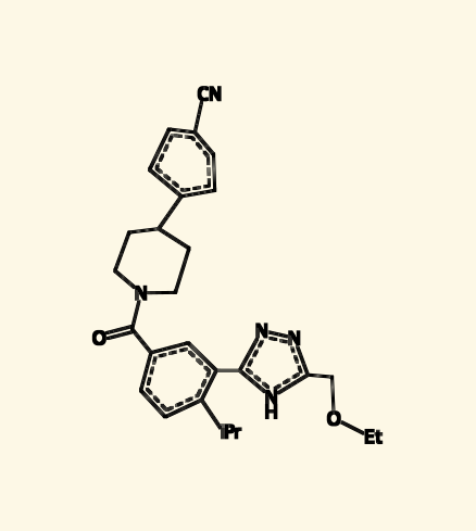 CCOCc1nnc(-c2cc(C(=O)N3CCC(c4ccc(C#N)cc4)CC3)ccc2C(C)C)[nH]1